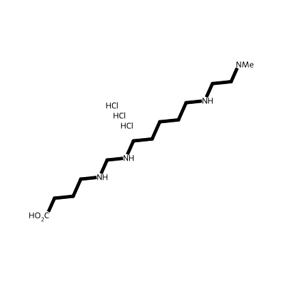 CNCCNCCCCCNCNCCCC(=O)O.Cl.Cl.Cl